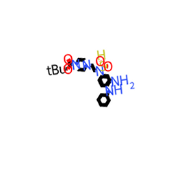 CC(C)(C)OC(=O)N1CCN(CCN(c2ccc(NC3CCCCC3)c(N)c2)[SH](=O)=O)CC1